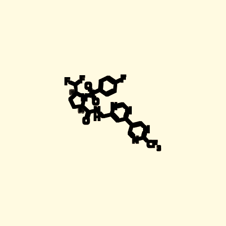 O=C(NCc1cc(-c2cnc(C(F)(F)F)nc2)ncn1)[C@H]1CC[C@@H](C(F)F)N1S(=O)(=O)c1ccc(F)cc1